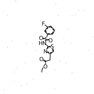 CCOC(=O)Cc1csc(NS(=O)(=O)c2cccc(F)c2)n1